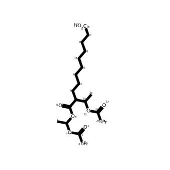 CCCC(=O)OC(C)OC(=O)C(CCCCCCCCC(=O)O)C(C)OC(=O)CCC